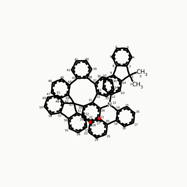 CC1(C)c2ccccc2-c2ccc(N(c3ccccc3-c3ccccc3)c3cccc4c3-c3ccccc3-c3ccccc3-c3ccccc3C43c4ccccc4-c4ccccc43)cc21